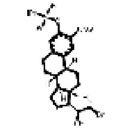 COc1cc2c(cc1O[Si](C(C)C)(C(C)C)C(C)C)CC[C@@H]1[C@@H]2CC[C@]2(C)[C@@H](C(C)CBr)CC[C@@H]12